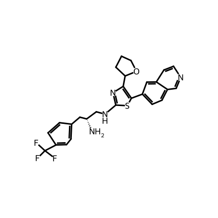 N[C@@H](CNc1nc(C2CCCO2)c(-c2ccc3cnccc3c2)s1)Cc1ccc(C(F)(F)F)cc1